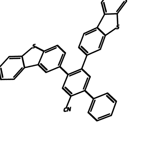 N#Cc1cc(-c2ccc3sc4ccccc4c3c2)c(-c2ccc3c(c2)sc2ccccc23)cc1-c1ccccc1